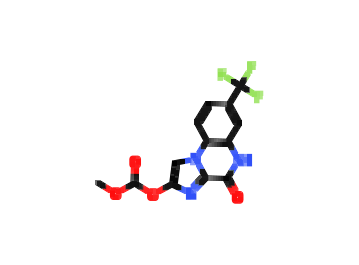 COC(=O)Oc1cn2c(n1)c(=O)[nH]c1cc(C(F)(F)F)ccc12